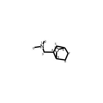 CN(C)CC1CC2CCC1O2